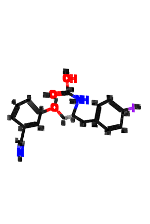 N#Cc1cccc(OC[C@@H](Cc2ccc(I)cc2)NC(=O)O)c1